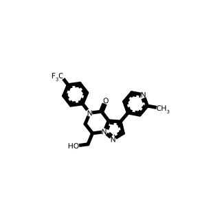 Cc1cc(-c2cnn3c2C(=O)N(c2ccc(C(F)(F)F)cc2)CC3CO)ccn1